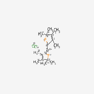 CC1=C(C)C(C)(C)P=[C]1[Zr+2][C]1=PC(C)(C)C(C)=C1C.[Cl-].[Cl-]